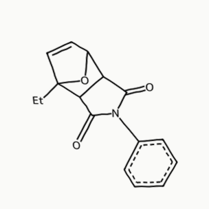 CCC12C=CC(O1)C1C(=O)N(c3ccccc3)C(=O)C12